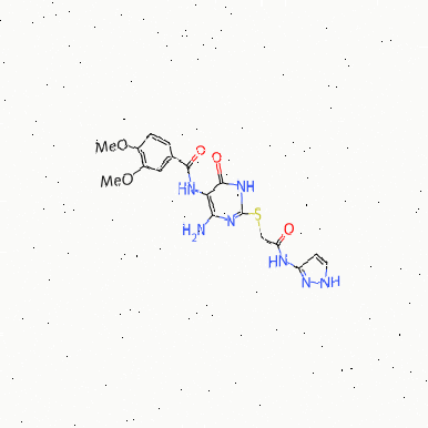 COc1ccc(C(=O)Nc2c(N)nc(SCC(=O)Nc3cc[nH]n3)[nH]c2=O)cc1OC